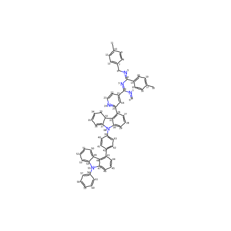 C=N/C(=N\C(=N/Cc1ccc(C)cc1)c1ccc(C)cc1)c1ccnc(-c2cccc3c2C2CC=CC=C2N3c2ccc(-c3cccc4c3c3ccccc3n4-c3ccccc3)cc2)c1